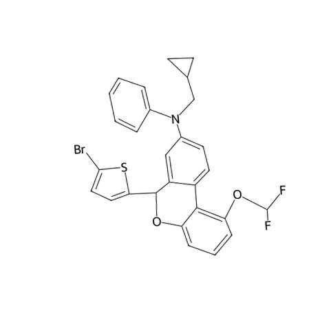 FC(F)Oc1cccc2c1-c1ccc(N(CC3CC3)c3ccccc3)cc1C(c1ccc(Br)s1)O2